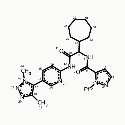 CCn1nccc1C(=O)NC(C(=O)Nc1ccc(-c2c(C)nnn2C)cn1)C1CCCCCC1